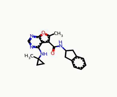 Cc1oc2ncnc(NC3(C)CC3)c2c1C(=O)NC1Cc2ccccc2C1